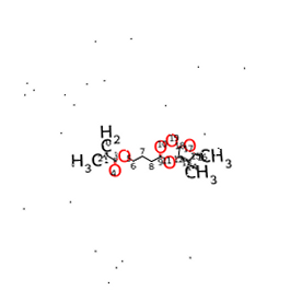 C=C(C)C(=O)OCCCC(=O)OC1=C(C)C(C)OC1=O